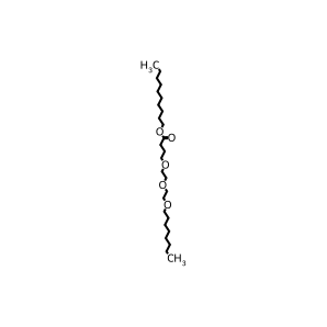 CCCCCCCCCCOC(=O)CCCOCCOCCOCCCCCCCC